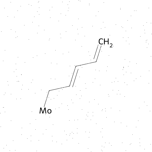 C=CC=C[CH2][Mo]